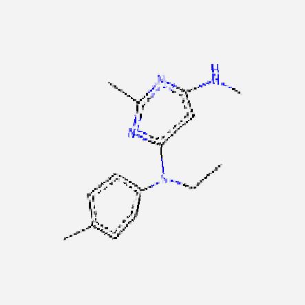 CCN(c1ccc(C)cc1)c1cc(NC)nc(C)n1